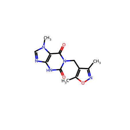 Cc1noc(C)c1Cn1c(=O)[nH]c2ncn(C)c2c1=O